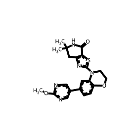 COc1ncc(-c2ccc3c(c2)N(c2nc4c(s2)C(=O)NC(C)(C)C4)CCO3)cn1